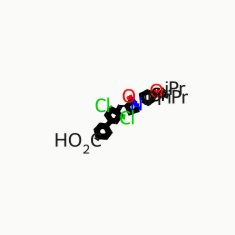 CC(C)[Si](OC1CCC(N2CC[C@@H](Cc3c(Cl)cc(-c4ccc(C(=O)O)cc4)cc3Cl)C2=O)CC1)(C(C)C)C(C)C